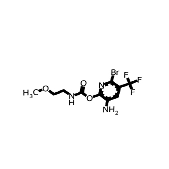 COCCNC(=O)Oc1nc(Br)c(C(F)(F)F)cc1N